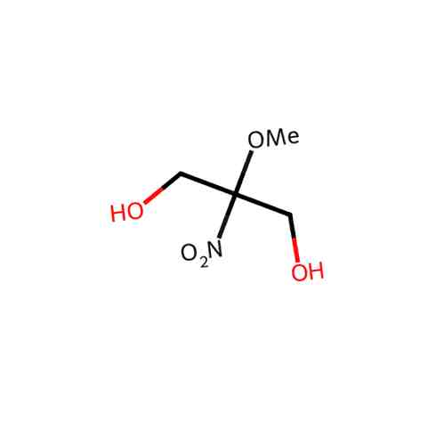 COC(CO)(CO)[N+](=O)[O-]